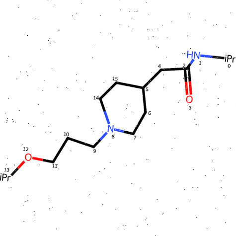 CC(C)NC(=O)CC1CCN(CCCOC(C)C)CC1